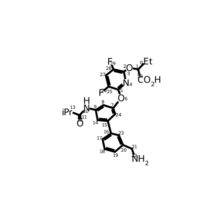 CCC(Oc1nc(Oc2cc(NC(=O)C(C)C)cc(-c3cccc(CN)c3)c2)c(F)cc1F)C(=O)O